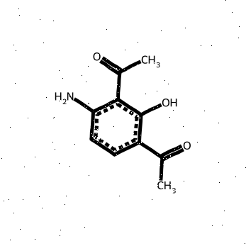 CC(=O)c1ccc(N)c(C(C)=O)c1O